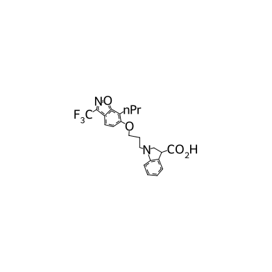 CCCc1c(OCCCN2CC(C(=O)O)c3ccccc32)ccc2c(C(F)(F)F)noc12